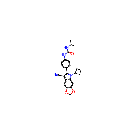 CC(C)NC(=O)Nc1ccc(-c2c(C#N)c3cc4c(cc3n2C2CCC2)OCO4)cc1